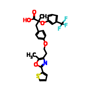 Cc1oc(-c2cccs2)nc1CCOc1ccc(CC(C)(Oc2cccc(C(F)(F)F)c2)C(=O)O)cc1